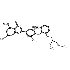 COc1cc(OC)c2c(=O)[nH]c(-c3cc(C)c(Oc4c(OCC(CO[N+](=O)[O-])O[N+](=O)[O-])cccc4C(=O)O)c(C)c3)nc2c1